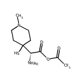 CC(=O)N[C@@H](C(=O)OC(=O)C(F)(F)F)C1(S)CCN(C)CC1